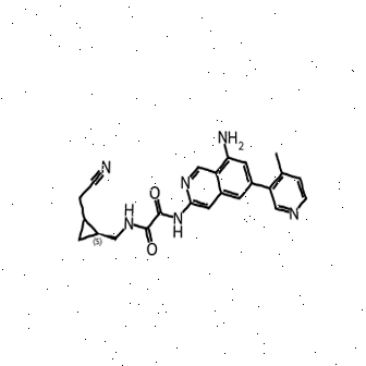 Cc1ccncc1-c1cc(N)c2cnc(NC(=O)C(=O)NC[C@H]3CC3CC#N)cc2c1